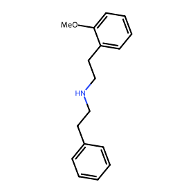 COc1ccccc1CCNCCc1ccccc1